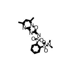 Cc1cc(C)n2oc(=NS(=O)(=O)c3ccccc3S(=O)(=O)N(C)C)nc2n1